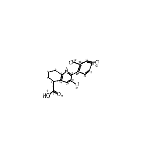 O=C(O)C1CCCc2nc(-c3ccc(Cl)cc3Cl)c(Cl)cc21